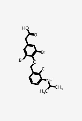 CC(C)Nc1cccc(COc2c(Br)cc(CC(=O)O)cc2Br)c1Cl